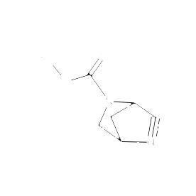 CC(C)(C)OC(=O)N1CC2CC1C#[N+]2